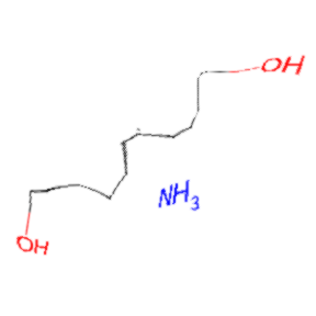 N.OCC[CH]CCO